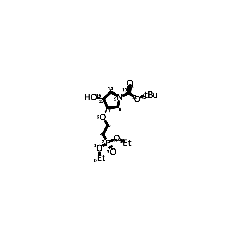 CCOP(=O)(CCO[C@H]1CN(C(=O)OC(C)(C)C)C[C@@H]1O)OCC